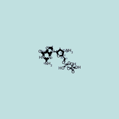 Nc1nc2c(ncn2[C@H]2C[C@H](N)[C@@H](COP(=O)(O)OP(=O)(O)O)O2)c(=O)[nH]1